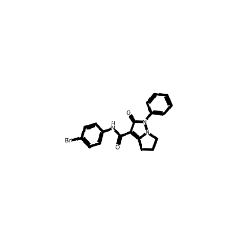 O=C(Nc1ccc(Br)cc1)c1c2n(n(-c3ccccc3)c1=O)CCC2